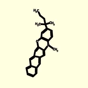 CCCC(C)(C)c1ccc2c(c1)Oc1cc3cc4ccccc4cc3cc1N2C